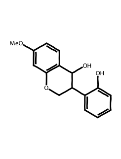 COc1ccc2c(c1)OCC(c1ccccc1O)C2O